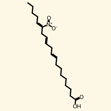 CCCCC=C(CC=CCC=CCCCCCCCC(=O)O)[N+](=O)[O-]